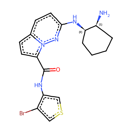 N[C@H]1CCCC[C@H]1Nc1ccc2ccc(C(=O)Nc3cscc3Br)n2n1